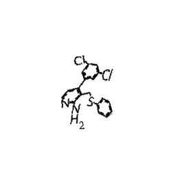 Nc1nccc(-c2cc(Cl)cc(Cl)c2)c1CSc1ccccc1